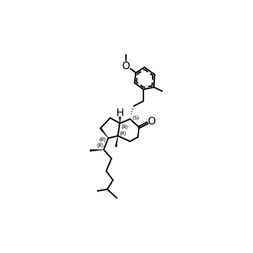 COc1ccc(C)c(CC[C@@H]2C(=O)CC[C@]3(C)[C@@H]([C@H](C)CCCC(C)C)CC[C@H]23)c1